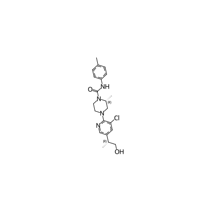 Cc1ccc(NC(=O)N2CCN(c3ncc([C@@H](C)CO)cc3Cl)C[C@H]2C)cc1